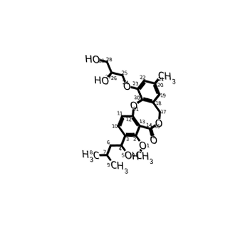 COc1c(C(O)CC(C)C)ccc2c1C(=O)OCc1cc(C)cc(OCC(O)CO)c1O2